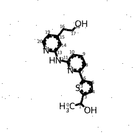 CC(O)c1ccc(-c2cccc(Nc3cc(CCO)ccn3)n2)s1